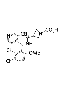 COc1ccc(Cl)c(Cl)c1[C@@H](NC(=O)C1CN(C(=O)O)C1)c1ccncc1C